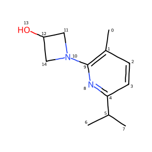 Cc1ccc(C(C)C)nc1N1CC(O)C1